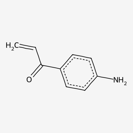 C=CC(=O)c1ccc(N)cc1